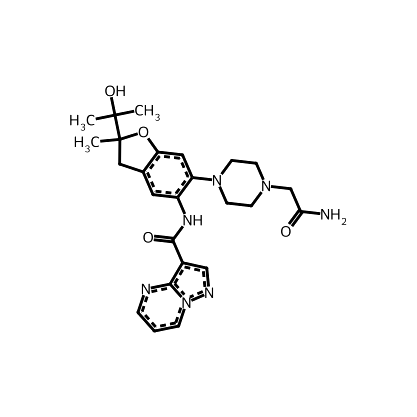 CC(C)(O)C1(C)Cc2cc(NC(=O)c3cnn4cccnc34)c(N3CCN(CC(N)=O)CC3)cc2O1